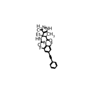 CC[C@]1(c2c[nH]nc2C)NC(=O)N(c2c(F)cc(C#Cc3ccccc3)cc2F)C(=O)C1C